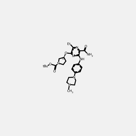 CCc1nc(C(N)=O)c(Nc2ccc(N3CCN(C)CC3)cc2)nc1O[C@H]1CCN(C(=O)OC(C)(C)C)C1